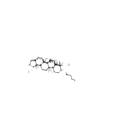 CCOC(=O)CCC(=O)O[C@H]1CC[C@]2(C)[C@H]3CC[C@@H]4[C@H]5[C@H](C(C)C)CC[C@]5(C=O)CC[C@@]4(C)[C@]3(C)CC[C@H]2C1(C)C